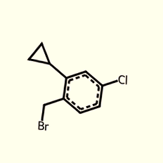 Clc1ccc(CBr)c(C2CC2)c1